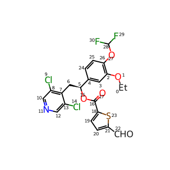 CCOc1cc([C@H](Cc2c(Cl)cncc2Cl)OC(=O)c2ccc(C=O)s2)ccc1OC(F)F